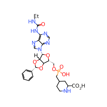 CCNC(=O)Nc1ncnc2c1ncn2[C@@H]1O[C@H](COP(=O)(O)CC2CCNC(C(=O)O)C2)C2O[C@H](c3ccccc3)O[C@@H]21